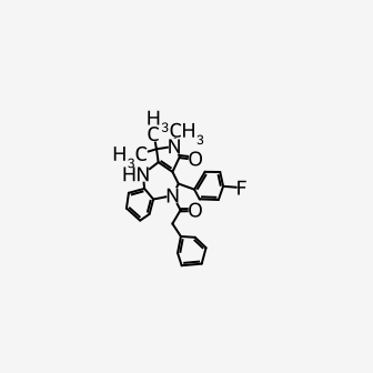 CN1C(=O)C2=C(Nc3ccccc3N(C(=O)Cc3ccccc3)C2c2ccc(F)cc2)C1(C)C